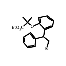 CCOC(=O)C(C)(C)Oc1ccccc1C(CBr)c1ccccc1